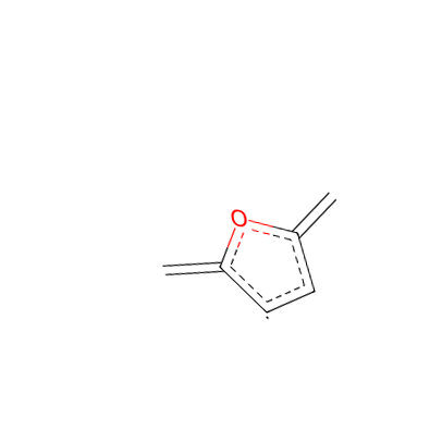 C=c1[c]cc(=C)o1